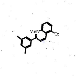 C=C(/C=C\c1c(CC)cccc1NC)c1cc(C)cc(C)c1